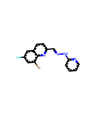 Fc1cc(Br)c2nc(C=NNc3ccccn3)ccc2c1